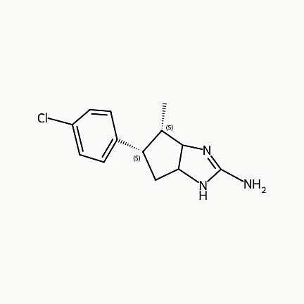 C[C@@H]1C2N=C(N)NC2C[C@@H]1c1ccc(Cl)cc1